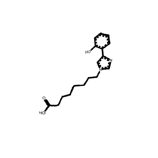 O=C(O)CCCCCCCn1cnc(-c2ccccc2O)c1